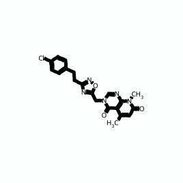 Cc1cc(=O)n(C)c2ncn(Cc3nc(CCc4ccc(Cl)cc4)no3)c(=O)c12